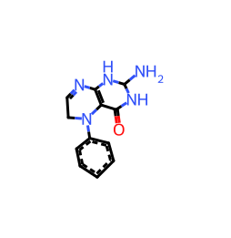 NC1NC(=O)C2=C(N=CCN2c2ccccc2)N1